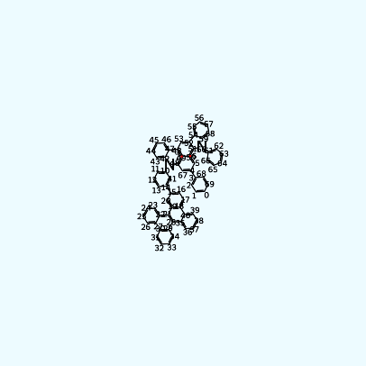 c1ccc(-c2cccc(N(c3cccc(-c4ccc5c(c4)c(-c4ccccc4)c(-c4ccccc4)c4ccccc45)c3)c3ccccc3-c3ccc4c(c3)c3ccccc3n4-c3ccccc3)c2)cc1